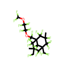 CC1(F)C(F)(F)C2(C(F)F)C(F)(F)C(C)(CF)C(F)(F)C(C(F)(F)OC(F)(F)C(F)(F)OC(F)F)(C1(F)F)C2(F)F